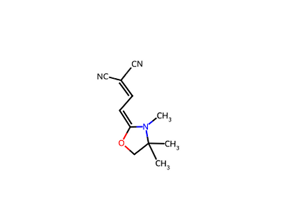 CN1/C(=C\C=C(C#N)C#N)OCC1(C)C